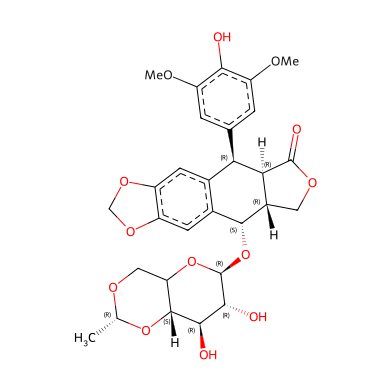 COc1cc([C@@H]2c3cc4c(cc3[C@@H](O[C@@H]3OC5CO[C@@H](C)O[C@H]5[C@H](O)[C@H]3O)[C@H]3COC(=O)[C@H]23)OCO4)cc(OC)c1O